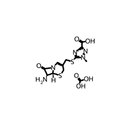 Cn1nc(C(=O)O)nc1SCC1=CN2C(=O)[C@@H](N)[C@H]2SC1.O=C(O)O